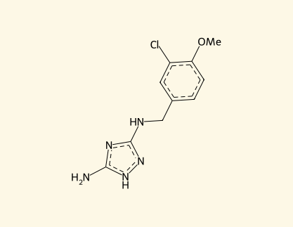 COc1ccc(CNc2n[nH]c(N)n2)cc1Cl